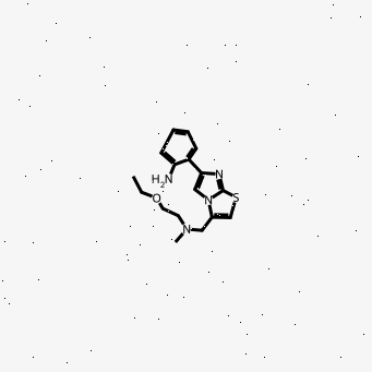 CCOCCN(C)Cc1csc2nc(-c3ccccc3N)cn12